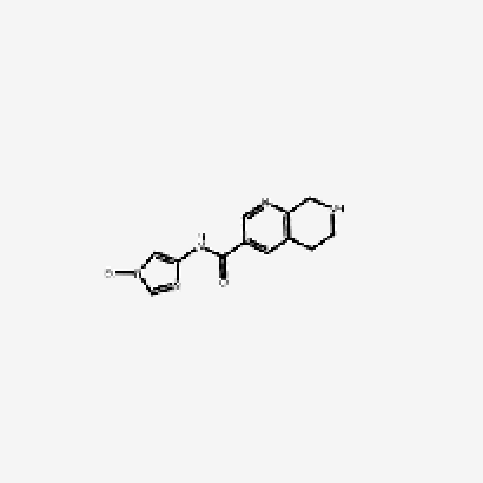 CCn1cnc(NC(=O)c2cnc3c(c2)CCNC3)c1